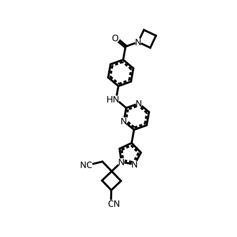 N#CCC1(n2cc(-c3ccnc(Nc4ccc(C(=O)N5CCC5)cc4)n3)cn2)CC(C#N)C1